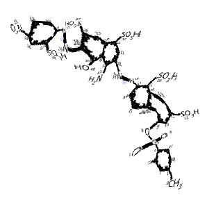 Cc1ccc(S(=O)(=O)Oc2cc(S(=O)(=O)O)cc3c(S(=O)(=O)O)c(/N=N/c4cc(S(=O)(=O)O)c5cc(S(=O)(=O)O)c(/N=N/c6ccc([N+](=O)[O-])cc6S(=O)(=O)O)c(O)c5c4N)ccc23)cc1